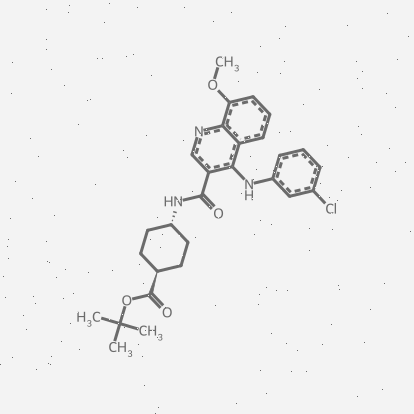 COc1cccc2c(Nc3cccc(Cl)c3)c(C(=O)N[C@H]3CC[C@H](C(=O)OC(C)(C)C)CC3)cnc12